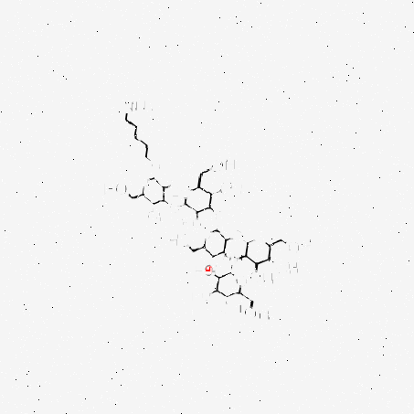 NCCCCCO[C@H]1OC(CO)[C@@H](O)C(O[C@H]2OC(CO)[C@@H](O)C(O[C@H]3OC(CO)[C@@H](O)C(O)C3O[C@H]3OC(CO)[C@@H](O)C(O)C3O[C@H]3OC(CO)[C@@H](O)C(O)C3O)C2O)C1O